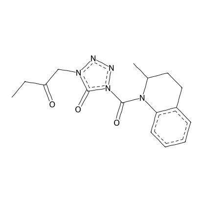 CCC(=O)Cn1nnn(C(=O)N2c3ccccc3CCC2C)c1=O